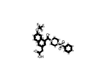 O=C(O)Cc1cc(C(=O)N2CCN(S(=O)(=O)c3ccccc3)CC2)c2cc(OC(F)(F)F)ccc2c1